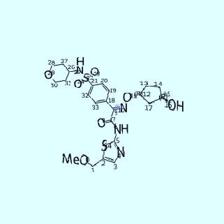 COCc1cnc(NC(=O)/C(=N/O[C@@H]2CC[C@@H](O)C2)c2ccc(S(=O)(=O)NC3CCOCC3)cc2)s1